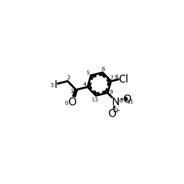 O=C(CI)c1ccc(Cl)c([N+](=O)[O-])c1